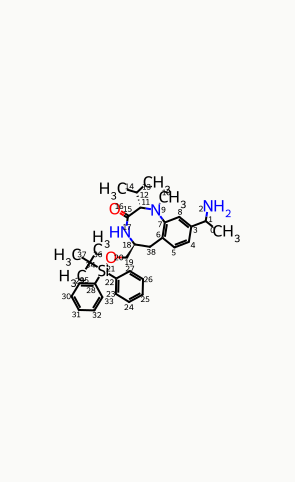 CC(N)c1ccc2c(c1)N(C)[C@@H](C(C)C)C(=O)N[C@H](CO[Si](c1ccccc1)(c1ccccc1)C(C)(C)C)C2